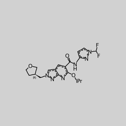 CC(C)Oc1nc2nn(C[C@H]3CCOC3)cc2cc1C(=O)Nc1ccn(C(F)F)n1